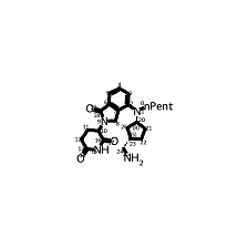 CCCCCN(c1cccc2c1CN(C1CCC(=O)NC1=O)C2=O)[C@@H]1CC[C@H](CN)C1